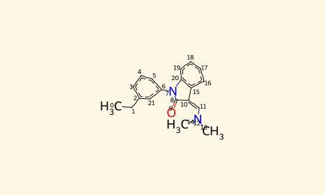 CCc1cccc(N2C(=O)/C(=C\N(C)C)c3ccccc32)c1